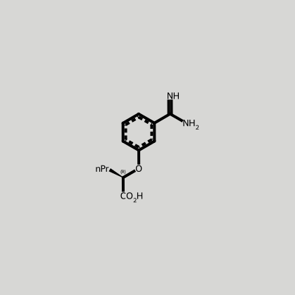 CCC[C@@H](Oc1cccc(C(=N)N)c1)C(=O)O